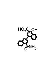 NC(=O)c1cc(-c2cc(C(=O)O)c(O)c3ccccc23)cc2ccccc12